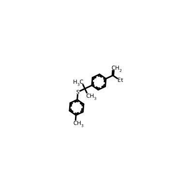 C=C(CC)c1ccc(C(C)(C)Sc2ccc(C)cc2)cc1